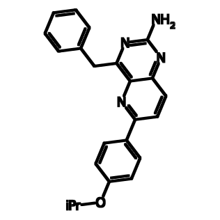 CC(C)Oc1ccc(-c2ccc3nc(N)nc(Cc4ccccc4)c3n2)cc1